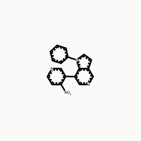 O=[N+]([O-])c1ccncc1-c1cncc2ccn(-c3ccccc3)c12